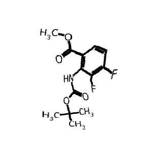 COC(=O)c1ccc(F)c(F)c1NC(=O)OC(C)(C)C